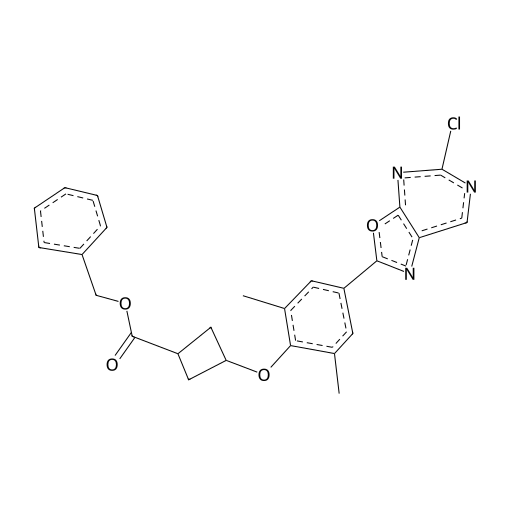 Cc1cc(-c2nc3cnc(Cl)nc3o2)cc(C)c1OC1CC(C(=O)OCc2ccccc2)C1